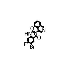 O=c1[nH]c2cc(F)c(Br)cc2c(=O)n1-c1cncc2ccccc12